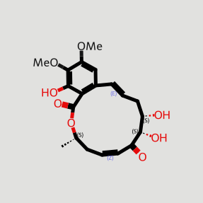 COc1cc2c(c(O)c1OC)C(=O)O[C@@H](C)C/C=C\C(=O)[C@@H](O)[C@@H](O)C/C=C/2